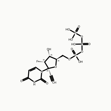 C#C[C@@]1(n2ccc(=O)[nH]c2=O)O[C@H](COP(=O)(O)OP(=O)(O)OP(=O)(O)O)[C@@H](O)[C@H]1F